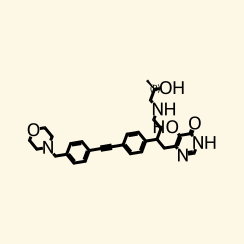 C[C@@H](O)CNCCC(Cc1nc[nH]c(=O)c1O)c1ccc(C#Cc2ccc(CN3CCOCC3)cc2)cc1